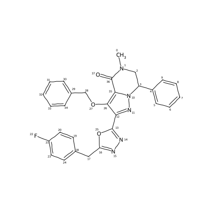 CN1CC(c2ccccc2)n2nc(-c3nnc(Cc4ccc(F)cc4)o3)c(OCc3ccccc3)c2C1=O